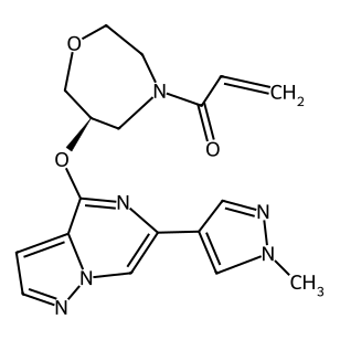 C=CC(=O)N1CCOC[C@H](Oc2nc(-c3cnn(C)c3)cn3nccc23)C1